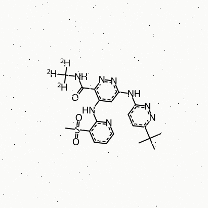 [2H]C([2H])([2H])NC(=O)c1nnc(Nc2ccc(C(C)(C)C)nn2)cc1Nc1ncccc1S(C)(=O)=O